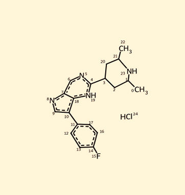 CC1CC(c2ncc3ncc(-c4ccc(F)cc4)c-3[nH]2)CC(C)N1.Cl